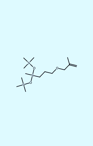 C=C(C)COCCC[Si](C)(O[Si](C)(C)C)O[Si](C)(C)C